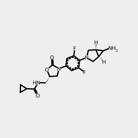 NC1[C@H]2CN(c3c(F)cc(N4C[C@H](CNC(=O)C5CC5)OC4=O)cc3F)C[C@@H]12